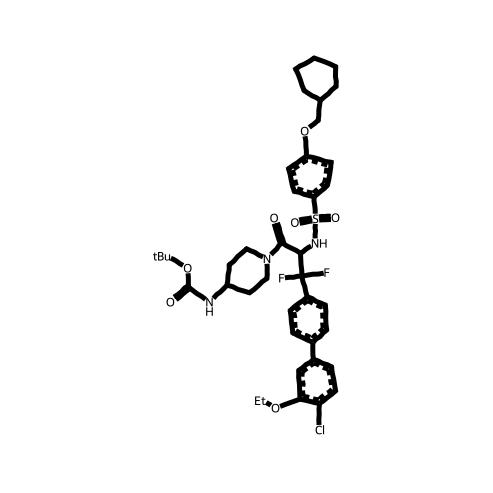 CCOc1cc(-c2ccc(C(F)(F)C(NS(=O)(=O)c3ccc(OCC4CCCCC4)cc3)C(=O)N3CCC(NC(=O)OC(C)(C)C)CC3)cc2)ccc1Cl